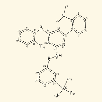 CC(C)c1ccccc1-c1cc(Oc2ccccc2F)nc(NSc2cccc(C(F)(F)F)c2)n1